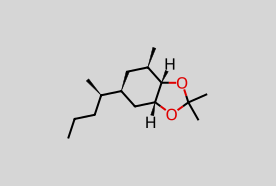 CCC[C@@H](C)[C@H]1C[C@@H](C)[C@@H]2OC(C)(C)O[C@@H]2C1